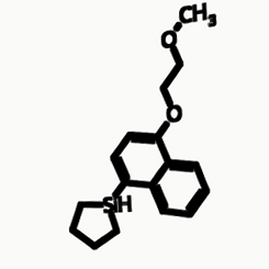 COCCOc1ccc([SiH]2CCCC2)c2ccccc12